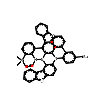 CC(C)(C)c1ccc(N2c3cc4oc5ccccc5c4c4c3B(c3c2ccc2oc5ccccc5c32)N2c3ccccc3[Si](C)(C)c3cccc-4c32)c(-c2ccccc2)c1